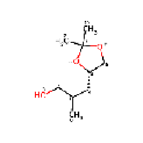 CC(CO)C[C@H]1COC(C)(C)O1